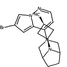 N#C[C@H]1C[C@@H](N2C3CCC2CN(c2ccnn4cc(Br)cc24)C3)C1